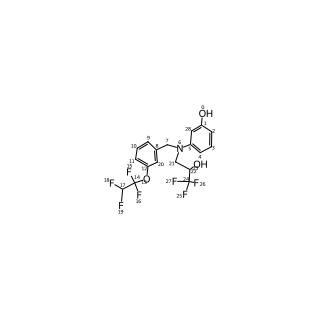 Oc1cccc(N(Cc2cccc(OC(F)(F)C(F)F)c2)CC(O)C(F)(F)F)c1